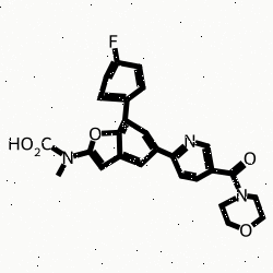 CN(C(=O)O)c1cc2cc(-c3ccc(C(=O)N4CCOCC4)cn3)cc(-c3ccc(F)cc3)c2o1